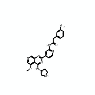 COc1cncc2nc(-c3ccnc(NC(=O)Cc4cccc(N)c4)c3)nc(N[C@@H]3CCNC3)c12